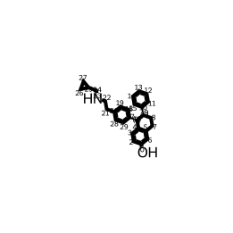 Oc1ccc2c(c1)CC[C@H](c1ccccc1)[C@@H]2c1ccc(CCNCC2CC2)cc1